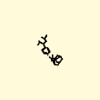 CC(C)CC(c1ccc(OC(C)(C)C23CC4CC(CC(C4)C2)C3)cc1)C(C)C